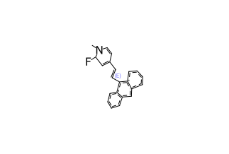 CN1C=CC(/C=C/c2c3ccccc3cc3ccccc23)=CC1F